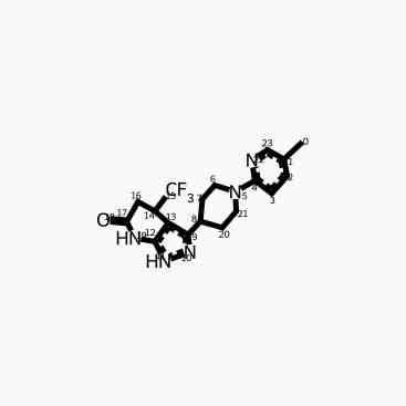 Cc1ccc(N2CCC(c3n[nH]c4c3C(C(F)(F)F)CC(=O)N4)CC2)nc1